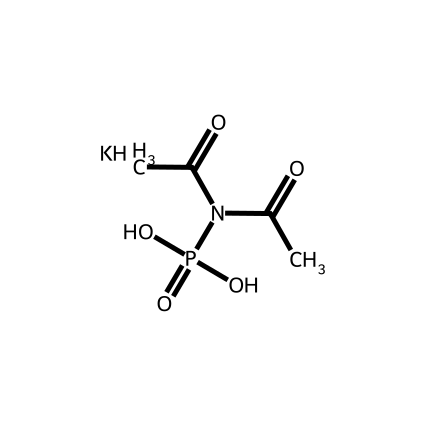 CC(=O)N(C(C)=O)P(=O)(O)O.[KH]